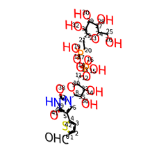 O=Cc1ccc(-c2cn([C@@H]3O[C@H](COP(=O)(O)OP(=O)(O)CC[C@H]4OC(CO)[C@H](O)C(O)C4O)C(O)C3O)c(=O)[nH]c2=O)s1